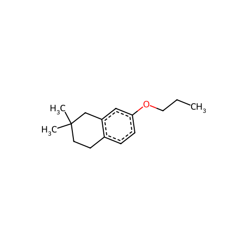 CCCOc1ccc2c(c1)CC(C)(C)CC2